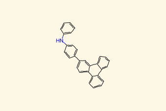 c1ccc(Nc2ccc(-c3ccc4c5ccccc5c5ccccc5c4c3)cc2)cc1